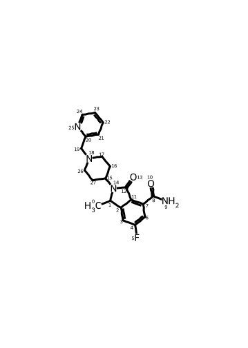 CC1c2cc(F)cc(C(N)=O)c2C(=O)N1C1CCN(Cc2ccccn2)CC1